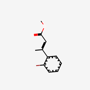 COC(=O)/C=C(\C)c1ccccc1Br